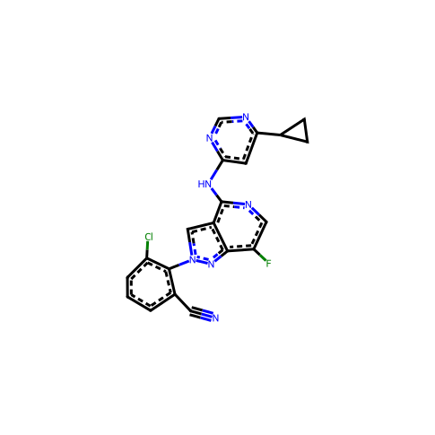 N#Cc1cccc(Cl)c1-n1cc2c(Nc3cc(C4CC4)ncn3)ncc(F)c2n1